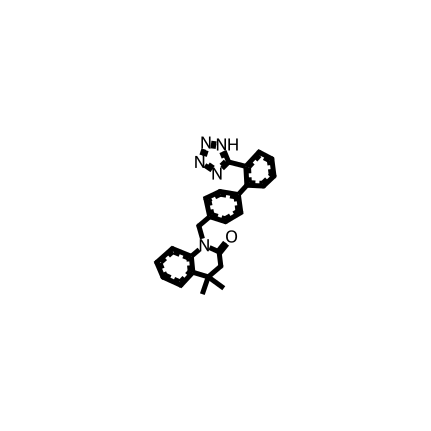 CC1(C)CC(=O)N(Cc2ccc(-c3ccccc3-c3nnn[nH]3)cc2)c2ccccc21